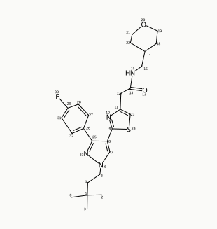 CC(C)(C)CCn1cc(-c2nc(CC(=O)NCC3CCOCC3)cs2)c(-c2ccc(F)cc2)n1